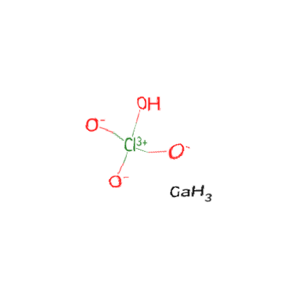 [GaH3].[O-][Cl+3]([O-])([O-])O